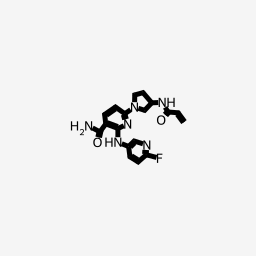 C=CC(=O)NC1CCN(c2ccc(C(N)=O)c(Nc3ccc(F)nc3)n2)C1